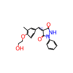 Cc1cc(/C=C2/C(=O)NN(c3ccccc3)C2=O)ccc1OCCO